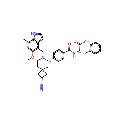 COc1cc(C)c2[nH]ccc2c1CN1CCC2(CC(C#N)C2)C[C@H]1c1ccc(C(=O)N[C@@H](Cc2ccccc2)C(=O)O)cc1